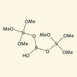 CO[Si](OC)(OC)OB(O)O[Si](OC)(OC)OC